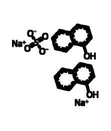 O=S(=O)([O-])[O-].Oc1cccc2ccccc12.Oc1cccc2ccccc12.[Na+].[Na+]